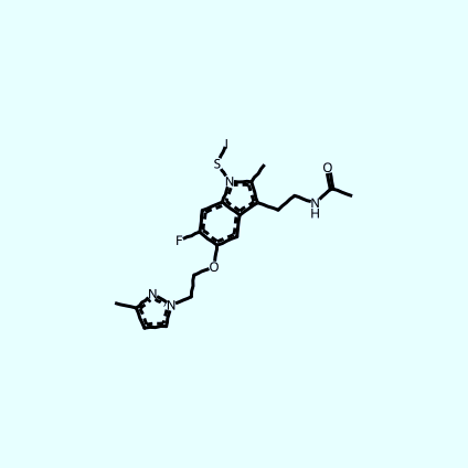 CC(=O)NCCc1c(C)n(SI)c2cc(F)c(OCCn3ccc(C)n3)cc12